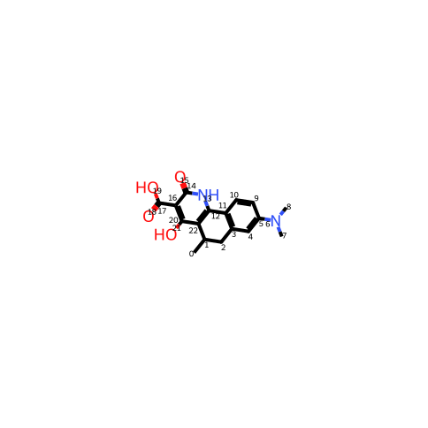 CC1Cc2cc(N(C)C)ccc2-c2[nH]c(=O)c(C(=O)O)c(O)c21